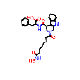 O=C(CCCCCCC(=O)N1Cc2[nH]c3ccccc3c2C(C(=O)NC(Cc2ccccc2)C(=O)O)C1)NO